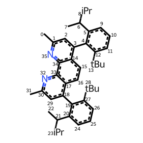 Cc1cc(-c2c(C(C)C(C)C)cccc2C(C)(C)C)c2ccc3c(-c4c(C(C)C(C)C)cccc4C(C)(C)C)cc(C)nc3c2n1